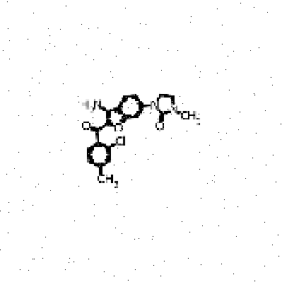 Cc1ccc(C(=O)c2oc3cc(N4CCN(C)C4=O)ccc3c2N)c(Cl)c1